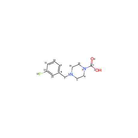 O=C(O)N1CCN(Cc2cccc(F)c2)CC1